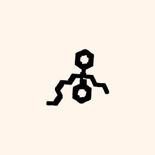 C\C=C/C=C\C=C\[PH](CCCC)(c1ccccc1)c1ccccc1